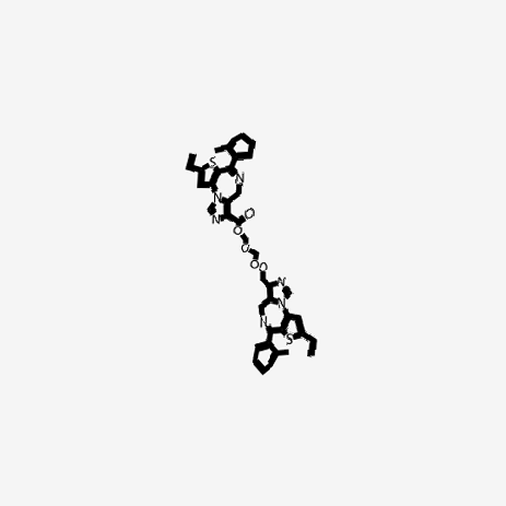 C=Cc1cc2c(s1)C(c1ccccc1C)=NCc1c(COOCOCOC(=O)c3ncn4c3CN=C(c3ccccc3C)c3sc(C=C)cc3-4)ncn1-2